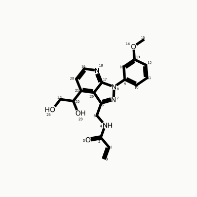 C=CC(=O)NCc1nn(-c2cccc(OC)c2)c2nccc(C(O)CO)c12